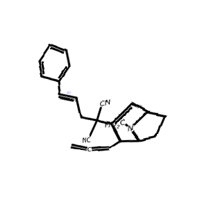 C=C=CC1C(C(C#N)(C#N)C/C=C/c2ccccc2)=CC2CCC1N2C(=O)O